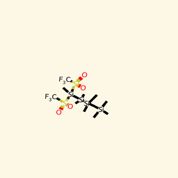 C[Si](C)(C)[Si](C)(C)[Si](C)(C)[Si](C)(S(=O)(=O)C(F)(F)F)S(=O)(=O)C(F)(F)F